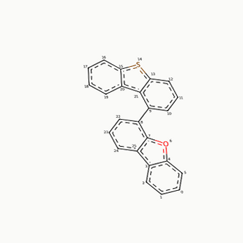 c1ccc2c(c1)oc1c(-c3cccc4sc5ccccc5c34)cccc12